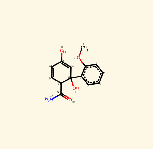 COc1ccccc1C1(O)C=C(O)C=CC1C(N)=O